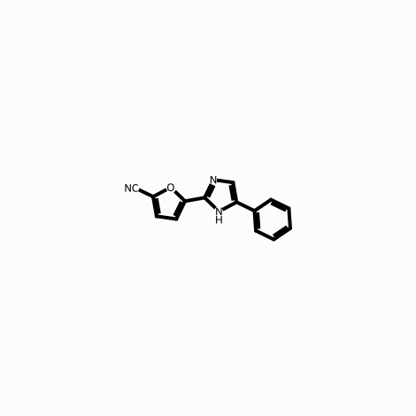 N#Cc1ccc(-c2ncc(-c3ccccc3)[nH]2)o1